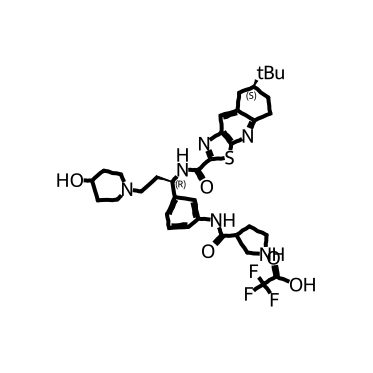 CC(C)(C)[C@H]1CCc2nc3sc(C(=O)N[C@H](CCN4CCC(O)CC4)c4cccc(NC(=O)C5CCNC5)c4)nc3cc2C1.O=C(O)C(F)(F)F